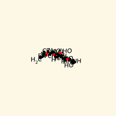 C=C(F)Cn1cc(-c2cnc(C(=O)Nc3ccc(C(=O)N[C@H]4[C@@H]5CN(C(=O)N[C@H]6CNC[C@@H]6O)C[C@@H]54)c(Cl)c3)n2C)c(C(F)(F)F)n1.O=CO